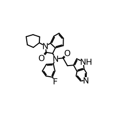 O=C1C(N(C(=O)Cc2c[nH]c3cnccc23)c2cccc(F)c2)c2ccccc2N1C1CCCCC1